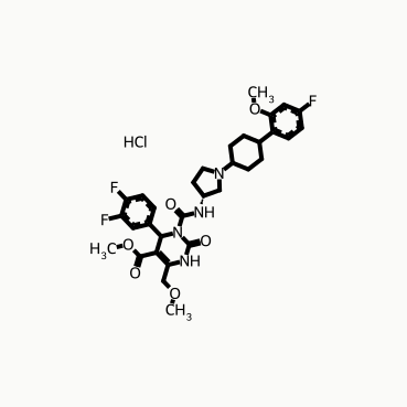 COCC1=C(C(=O)OC)C(c2ccc(F)c(F)c2)N(C(=O)N[C@@H]2CCN(C3CCC(c4ccc(F)cc4OC)CC3)C2)C(=O)N1.Cl